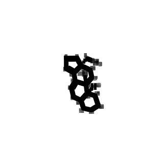 [2H]C[C@@]12C=CC=C1C1=CCC3CCCC[C@@H]3[C@H]1CC2